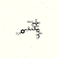 COC(=O)C1NC(=O)C1NC(=O)/C(=N\OCC(=O)OCc1ccc([N+](=O)[O-])cc1)c1csc(NC(=O)CCl)n1